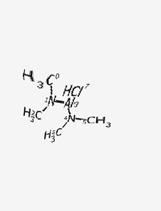 C[N](C)[Al][N](C)C.Cl